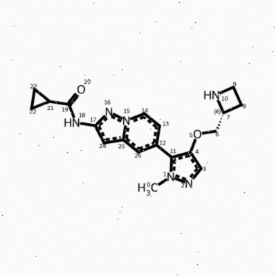 Cn1ncc(OC[C@H]2CCN2)c1-c1ccn2nc(NC(=O)C3CC3)cc2c1